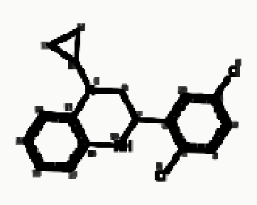 Clc1[c]cc(Cl)c(C2CN(C3CC3)c3ccccc3N2)c1